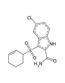 NC(=O)c1[nH]c2ccc(Cl)cc2c1S(=O)(=O)C1C=CCCC1